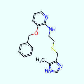 Cc1[nH]cnc1CSCCNc1ncccc1OCc1ccccc1